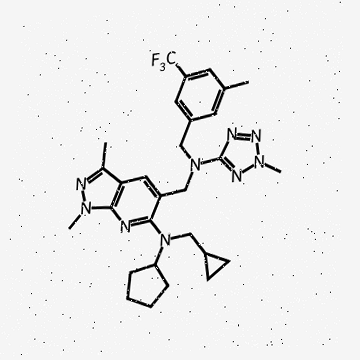 Cc1cc(CN(Cc2cc3c(C)nn(C)c3nc2N(CC2CC2)C2CCCC2)c2nnn(C)n2)cc(C(F)(F)F)c1